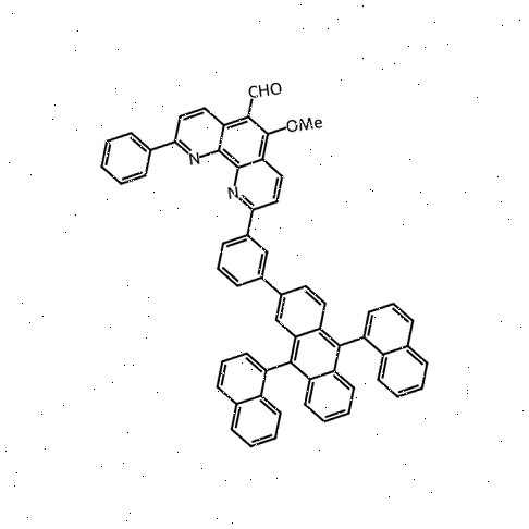 COc1c(C=O)c2ccc(-c3ccccc3)nc2c2nc(-c3cccc(-c4ccc5c(-c6cccc7ccccc67)c6ccccc6c(-c6cccc7ccccc67)c5c4)c3)ccc12